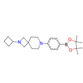 CC1(C)OB(c2ccc(N3CCC4(CC3)CN(C3CCC3)C4)cc2)OC1(C)C